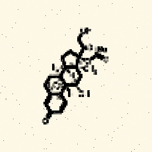 CC(C)(C)C(=O)O[C@]1(C(=O)CO)CC[C@H]2[C@@H]3CCC4=CC(=O)C=C[C@]4(C)[C@H]3[C@@H](O)C[C@@]21C